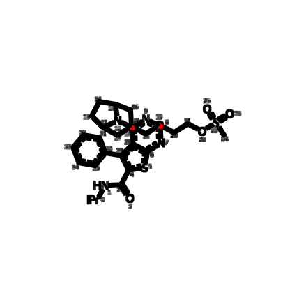 CC(C)NC(=O)c1sc2ncnc(N3C4CCC3CC(COCCOS(C)(=O)=O)C4)c2c1-c1ccccc1